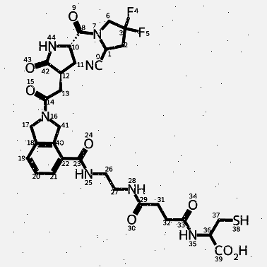 N#CC1CC(F)(F)CN1C(=O)[C@@H]1C[C@@H](CC(=O)N2Cc3cccc(C(=O)NCCNC(=O)CCC(=O)NC(CS)C(=O)O)c3C2)C(=O)N1